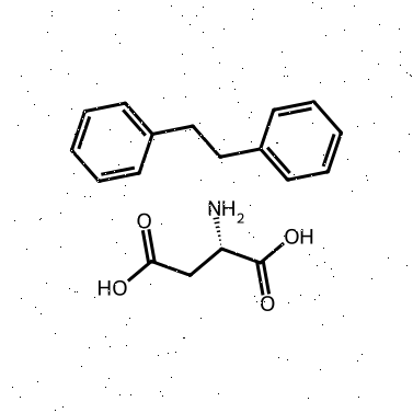 N[C@@H](CC(=O)O)C(=O)O.c1ccc(CCc2ccccc2)cc1